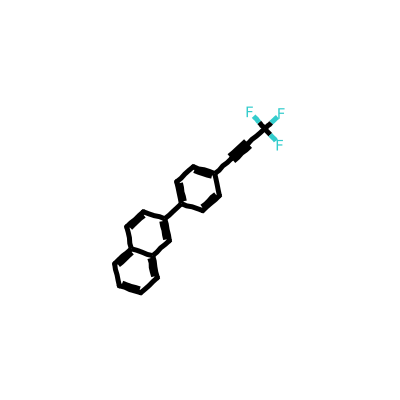 FC(F)(F)C#Cc1ccc(-c2ccc3ccccc3c2)cc1